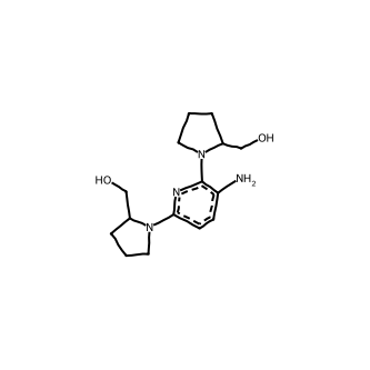 Nc1ccc(N2CCCC2CO)nc1N1CCCC1CO